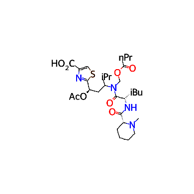 CCCC(=O)OCN(C(=O)[C@@H](NC(=O)[C@H]1CCCCN1C)[C@@H](C)CC)C(C[C@@H](OC(C)=O)c1nc(C(=O)O)cs1)C(C)C